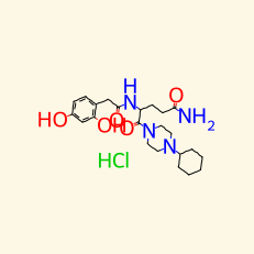 Cl.NC(=O)CCC(NC(=O)Cc1ccc(O)cc1O)C(=O)N1CCN(C2CCCCC2)CC1